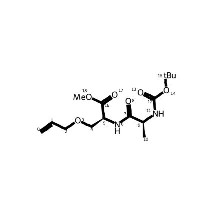 C=CCOC[C@H](NC(=O)[C@H](C)NC(=O)OC(C)(C)C)C(=O)OC